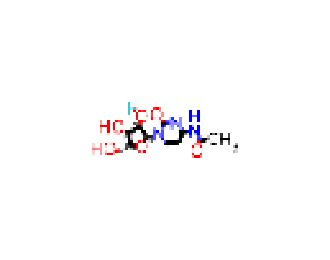 CC(=O)Nc1ccn([C@@H]2O[C@H](CO)[C@H](O)[C@H]2OF)c(=O)n1